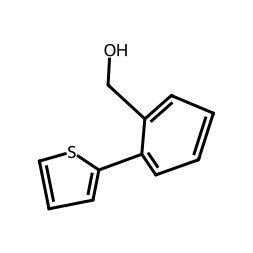 OCc1ccccc1-c1cccs1